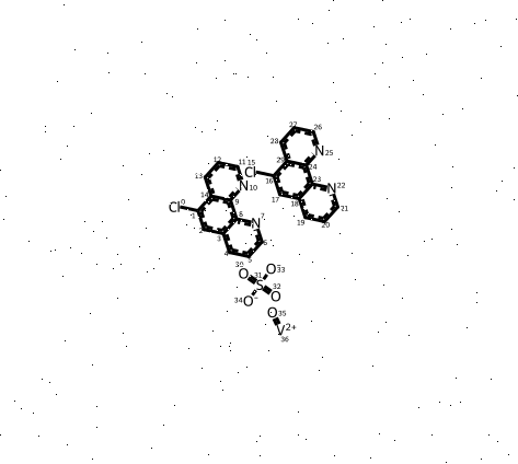 Clc1cc2cccnc2c2ncccc12.Clc1cc2cccnc2c2ncccc12.O=S(=O)([O-])[O-].[O]=[V+2]